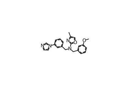 COc1cccc(CN(Cc2cccc(-n3ccnc3)c2)c2nc(C)co2)c1